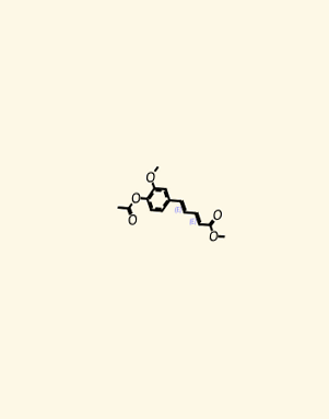 COC(=O)/C=C/C=C/c1ccc(OC(C)=O)c(OC)c1